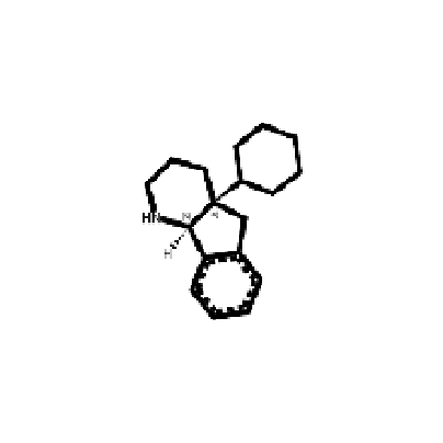 c1ccc2c(c1)C[C@@]1(C3CCCCC3)CCCN[C@H]21